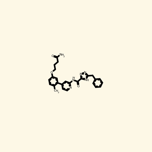 Cc1ccc(OCCCC(N)=O)cc1-c1ccnc(NC(=O)c2nnc(Cc3ccccc3)[nH]2)c1